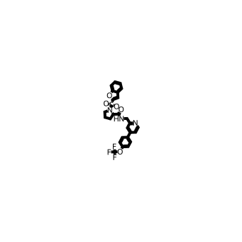 O=C(NCc1cc(-c2ccc(OC(F)(F)F)cc2)ccn1)C1CCCN1S(=O)(=O)c1cc2ccccc2o1